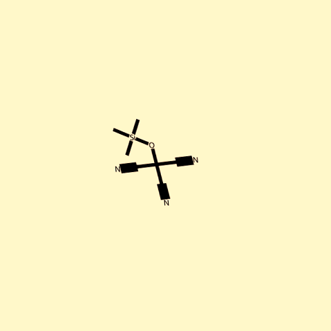 C[Si](C)(C)OC(C#N)(C#N)C#N